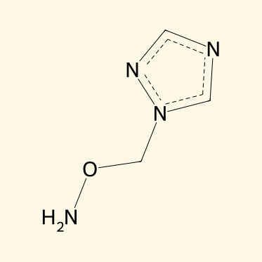 NOCn1cncn1